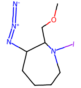 COCC1C(N=[N+]=[N-])CCCCN1I